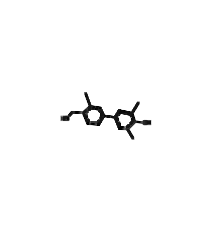 Cc1cc(-c2cc(C)c(O)c(C)c2)ccc1CO